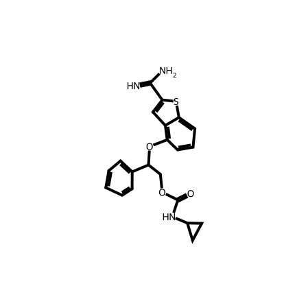 N=C(N)c1cc2c(OC(COC(=O)NC3CC3)c3ccccc3)cccc2s1